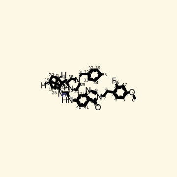 COc1ccc(CCn2cnc3cc(N/C(=N/C4C[C@@H]5C[C@H]([C@@H]4C)C5(C)C)N4CCN(Cc5ccccc5)CC4)ccc3c2=O)c(F)c1